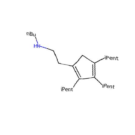 CCCCNCCC1=C(C(C)CCC)C(C(C)CCC)=C(C(C)CCC)C1